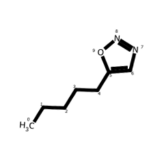 CCCCCc1cnno1